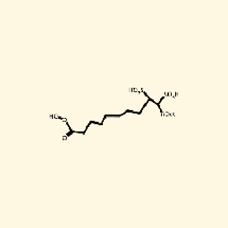 CCCCCCCCC(C(CCCCCCCC(=O)OO)S(=O)(=O)O)S(=O)(=O)O